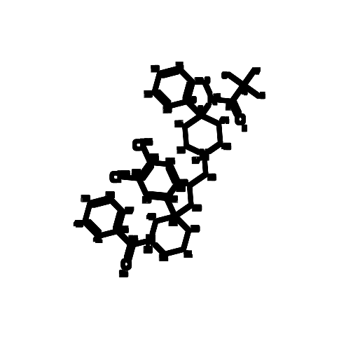 CN(C(=O)C(C)(C)C)C1(c2ccccc2)CCN(CCCC2(c3ccc(Cl)c(Cl)c3)CCCN(C(=O)c3ccccc3)C2)CC1